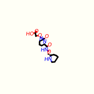 O=C(O)CON1C(=O)N2CC1CCC2C(=O)NOC[C@H]1CCCCCN1